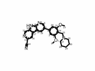 COc1cc(-c2cnc3[nH]c4cnc(C#N)cc4c3c2)cc(OC)c1CN1CCCCC1